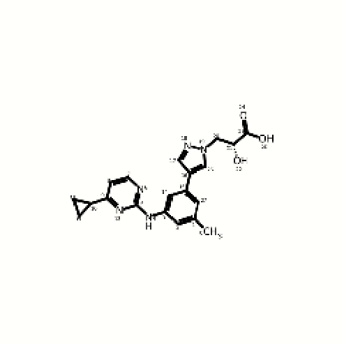 Cc1cc(Nc2nccc(C3CC3)n2)cc(-c2cnn(C[C@@H](O)C(=O)O)c2)c1